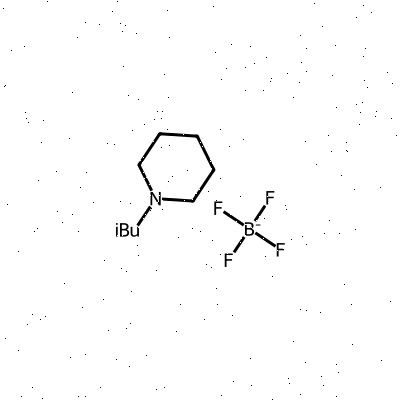 CCC(C)N1CCCCC1.F[B-](F)(F)F